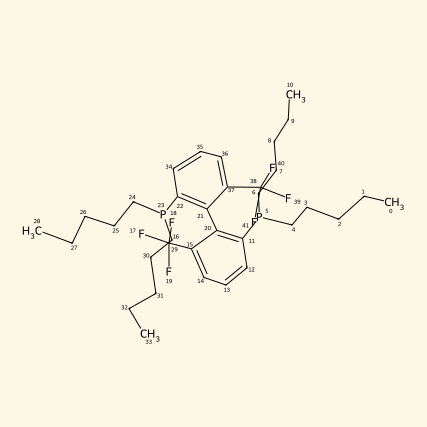 CCCCCP(CCCCC)c1cccc(C(F)(F)F)c1-c1c(P(CCCCC)CCCCC)cccc1C(F)(F)F